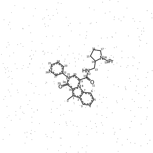 Cc1c2ccccc2n2c(C(=O)NCC3CCCN3C(C)C)cn(-c3cccnc3)c(=O)c12